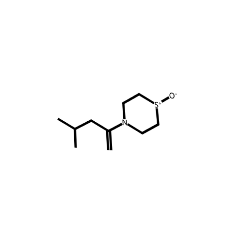 C=C(CC(C)C)N1CC[S+]([O-])CC1